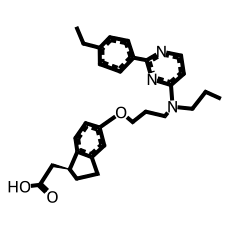 CCCN(CCCOc1ccc2c(c1)CC[C@H]2CC(=O)O)c1ccnc(-c2ccc(CC)cc2)n1